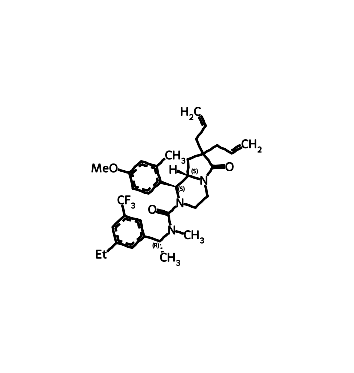 C=CCC1(CC=C)C[C@H]2[C@H](c3ccc(OC)cc3C)N(C(=O)N(C)[C@H](C)c3cc(CC)cc(C(F)(F)F)c3)CCN2C1=O